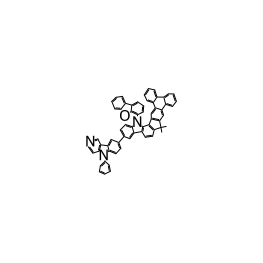 CC1(C)c2cc3c4ccccc4c4ccccc4c3cc2-c2c1ccc1c3cc(-c4ccc5c(c4)c4cnccc4n5-c4ccccc4)ccc3n(-c3cccc4c3oc3ccccc34)c21